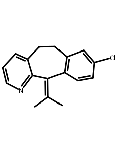 CC(C)=C1c2ccc(Cl)cc2CCc2cccnc21